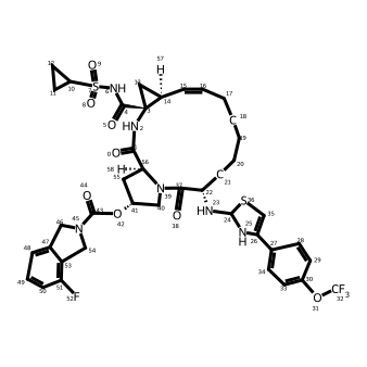 O=C1N[C@]2(C(=O)NS(=O)(=O)C3CC3)C[C@H]2/C=C\CCCCC[C@H](NC2NC(c3ccc(OC(F)(F)F)cc3)=CS2)C(=O)N2C[C@H](OC(=O)N3Cc4cccc(F)c4C3)C[C@@H]12